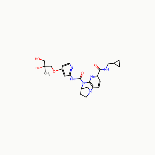 CC(O)(CO)COc1ccnc(NC(=O)N2c3nc(C(=O)NCC4CC4)ccc3N3CCC2C3)c1